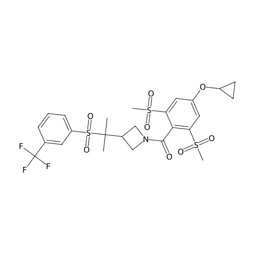 CC(C)(C1CN(C(=O)c2c(S(C)(=O)=O)cc(OC3CC3)cc2S(C)(=O)=O)C1)S(=O)(=O)c1cccc(C(F)(F)F)c1